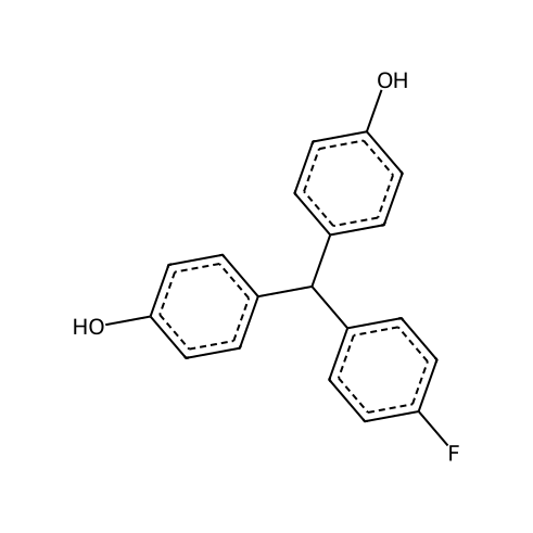 Oc1ccc(C(c2ccc(O)cc2)c2ccc(F)cc2)cc1